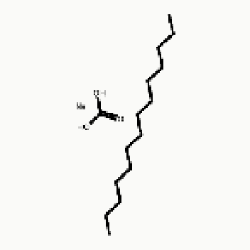 CCCCCCCCCCCCCC.O=C(O)O.[NaH]